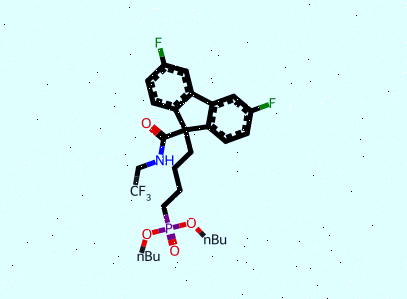 CCCCOP(=O)(CCCCC1(C(=O)NCC(F)(F)F)c2ccc(F)cc2-c2cc(F)ccc21)OCCCC